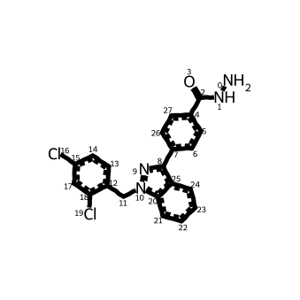 NNC(=O)c1ccc(-c2nn(Cc3ccc(Cl)cc3Cl)c3ccccc23)cc1